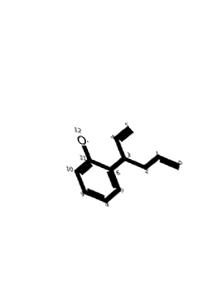 C=CCC(C=C)c1ccccc1[O]